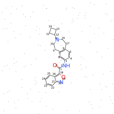 O=C(Nc1ccc2c(c1)CCN(C1CCC1)CC2)c1onc2ccccc12